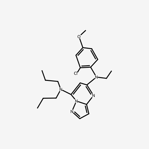 CCCN(CCC)c1cc(N(CC)c2ccc(OC)cc2Cl)nc2ccnn12